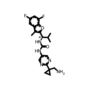 Cc1c([C@H](NC(=O)Nc2cnc(C3(CN)CC3)nc2)C(C)C)oc2c(F)cc(F)cc12